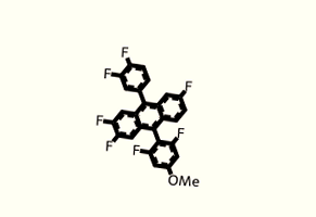 COc1cc(F)c(-c2c3ccc(F)cc3c(-c3ccc(F)c(F)c3)c3cc(F)c(F)cc23)c(F)c1